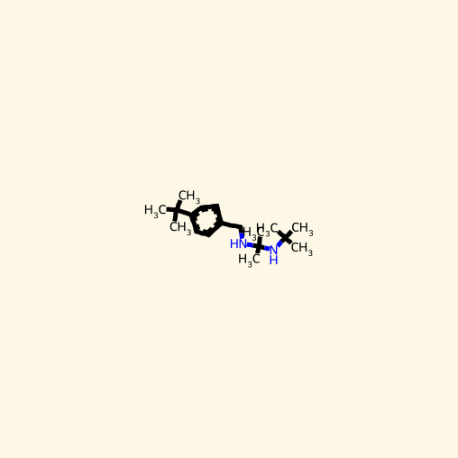 CC(C)(C)NC(C)(C)NCc1ccc(C(C)(C)C)cc1